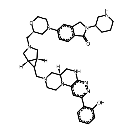 O=C1c2ccc(N3CCO[C@H](CN4C[C@@H]5C(CN6CCN7c8cc(-c9ccccc9O)nnc8NC[C@H]7C6)[C@@H]5C4)C3)cc2CN1C1CCCNC1